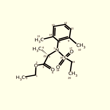 CCOC(=O)[C@H](C)N(c1c(C)cccc1C)S(=O)(=O)CC